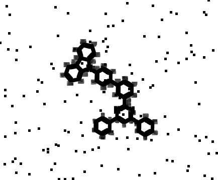 c1ccc(-c2cc(-c3ccccc3)nc(-c3cccc(-c4ccc(-n5c6ccccc6c6ccccc65)cc4)c3)n2)cc1